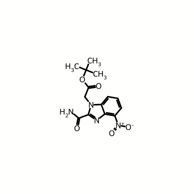 CC(C)(C)OC(=O)Cn1c(C(N)=O)nc2c([N+](=O)[O-])cccc21